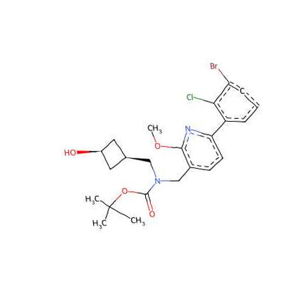 COc1nc(-c2cccc(Br)c2Cl)ccc1CN(C[C@H]1C[C@@H](O)C1)C(=O)OC(C)(C)C